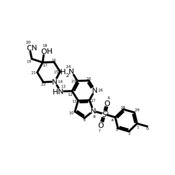 Cc1ccc(S(=O)(=O)n2ccc3c(NN4CCC(O)(CC#N)CC4)c(N)cnc32)cc1